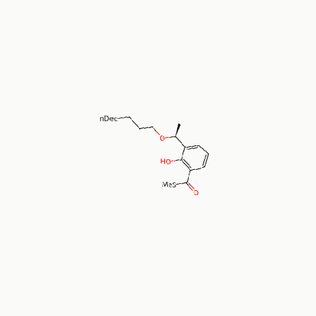 CCCCCCCCCCCCCO[C@@H](C)c1cccc(C(=O)SC)c1O